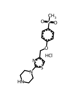 CS(=O)(=O)c1ccc(OCc2csc(N3CCNCC3)n2)cc1.Cl